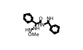 CONNC(C(=O)NC(=N)c1ccccc1)c1ccccc1